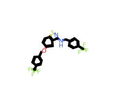 FC(F)(F)c1ccc(CNc2nsc3ccc(OCc4ccc(C(F)(F)F)cc4)cc23)cc1